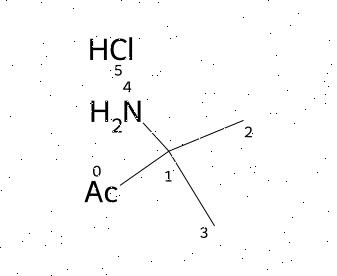 CC(=O)C(C)(C)N.Cl